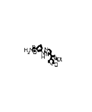 CCn1cc(-c2ccnc(Nc3cccc(S(N)(=O)=O)c3)n2)c2ccnc(Cl)c21